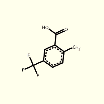 [CH2]c1ccc(C(F)(F)F)cc1C(=O)O